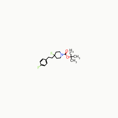 CC(C)(C)OC(=O)N1CCC(F)(CCc2ccc(F)cc2)CC1